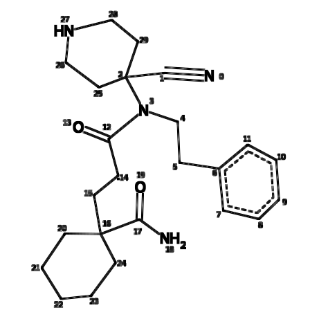 N#CC1(N(CCc2ccccc2)C(=O)[CH]CC2(C(N)=O)CCCCC2)CCNCC1